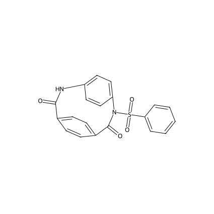 O=C1Nc2ccc(cc2)N(S(=O)(=O)c2ccccc2)C(=O)c2ccc1cc2